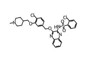 CN1CCC(COc2cc(COc3nc4ccccc4nc3NS(=O)(=O)c3ccccc3Cl)ccc2Cl)CC1